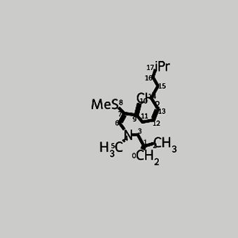 C=C(C)CN(C)/C=C(/SC)C(=C)C/C=C\CCCC(C)C